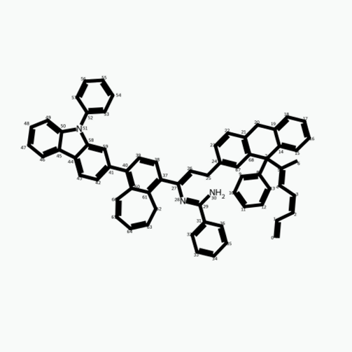 C=C/C=C\C=C(/C)C1(c2ccccc2)c2ccccc2Cc2ccc(C/C=C(\N=C(/N)c3ccccc3)c3ccc(-c4ccc5c6ccccc6n(-c6ccccc6)c5c4)c4c3CC=CC=C4)cc21